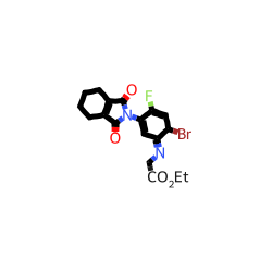 CCOC(=O)CN=C1C=C(N2C(=O)C3=C(CCCC3)C2=O)C(F)=CC1Br